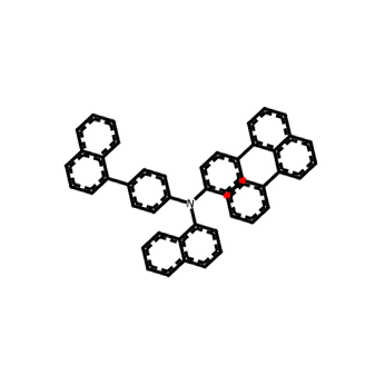 c1ccc(-c2cccc3cccc(-c4ccc(N(c5ccc(-c6cccc7ccccc67)cc5)c5cccc6ccccc56)cc4)c23)cc1